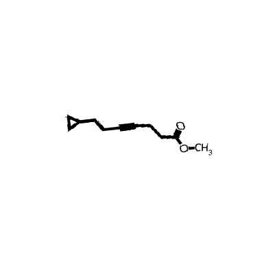 COC(=O)CCC#CCCC1[CH]C1